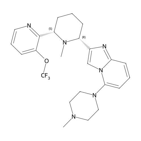 CN1CCN(c2cccc3nc([C@H]4CCC[C@@H](c5ncccc5OC(F)(F)F)N4C)cn23)CC1